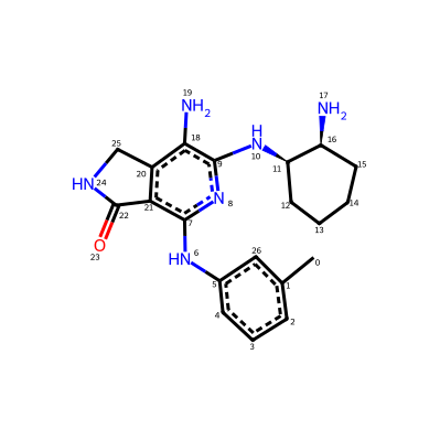 Cc1cccc(Nc2nc(N[C@@H]3CCCC[C@@H]3N)c(N)c3c2C(=O)NC3)c1